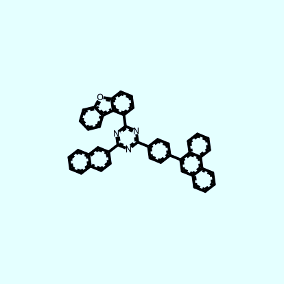 c1ccc2cc(-c3nc(-c4ccc(-c5cc6ccccc6c6ccccc56)cc4)nc(-c4cccc5oc6ccccc6c45)n3)ccc2c1